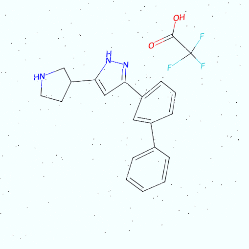 O=C(O)C(F)(F)F.c1ccc(-c2cccc(-c3cc(C4CCNC4)[nH]n3)c2)cc1